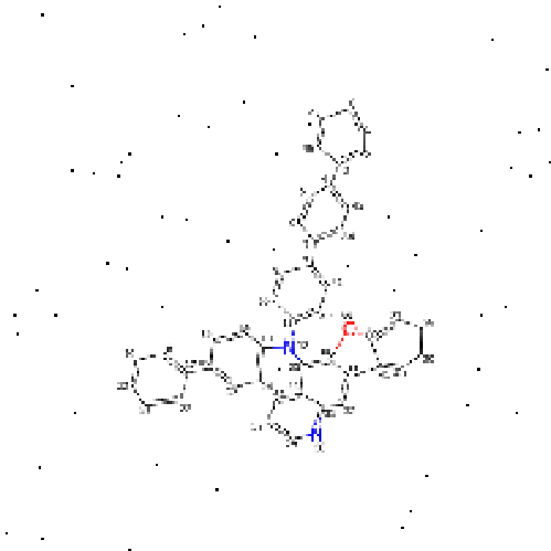 c1ccc(-c2ccc(-c3ccc(N(c4ccc(-c5ccccc5)cc4)c4c5cccnc5cc5c4oc4ccccc45)cc3)cc2)cc1